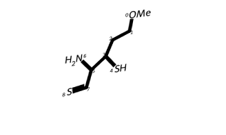 COCCC(S)C(N)C=S